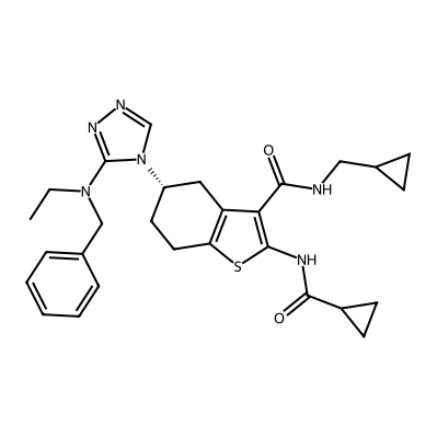 CCN(Cc1ccccc1)c1nncn1[C@H]1CCc2sc(NC(=O)C3CC3)c(C(=O)NCC3CC3)c2C1